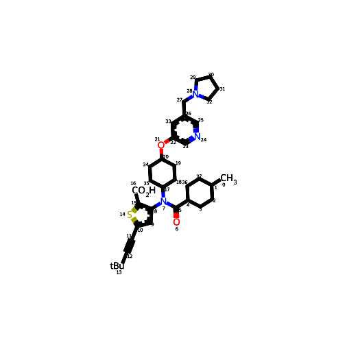 CC1CCC(C(=O)N(c2cc(C#CC(C)(C)C)sc2C(=O)O)C2CCC(Oc3cncc(CN4CCCC4)c3)CC2)CC1